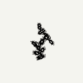 c1ccc(-c2cc(-c3ccc(-c4cc(-c5c6ccccc6c(-c6ccc7ccccc7c6)c6ccccc56)cc5c4oc4ccccc45)cc3)cc3c2oc2ccc(-c4c5ccccc5c(-c5ccc6ccccc6c5)c5ccccc45)cc23)cc1